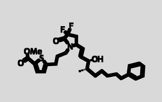 COC(=O)c1ccc(CCCN2C(=O)C(F)(F)CC2/C=C/[C@H](O)[C@@H](C)CCCCCc2ccccc2)s1